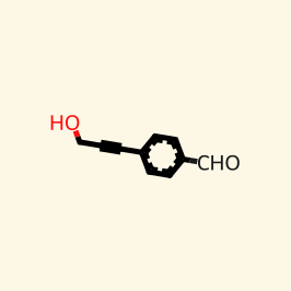 O=Cc1ccc(C#CCO)cc1